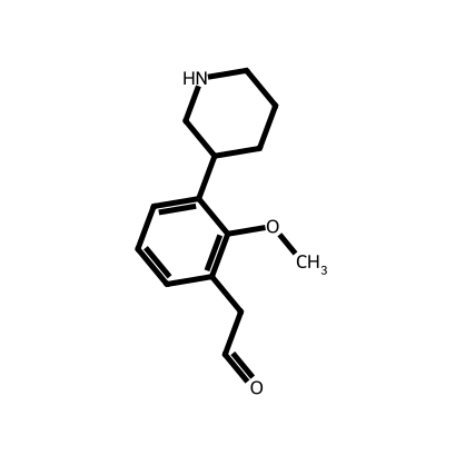 COc1c(CC=O)cccc1C1CCCNC1